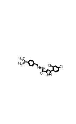 CN(C)c1ccc(C=NNC(=O)c2cc(-c3ccc(Cl)cc3Cl)ns2)cc1